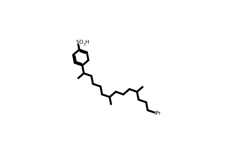 CC(C)CCCC(C)CCCC(C)CCCCC(C)C1=C=CC(S(=O)(=O)O)=CC1